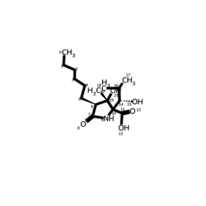 CCCCCC[C@@H]1C(=O)NC(C(=O)O)([C@@H](O)C(C)C)[C@@]1(C)O